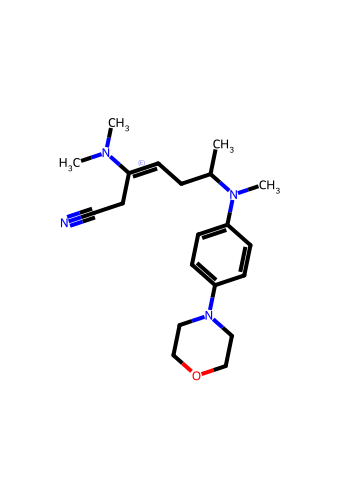 CC(C/C=C(\CC#N)N(C)C)N(C)c1ccc(N2CCOCC2)cc1